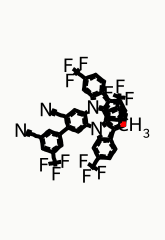 Cc1ccc2c3ccc(C(F)(F)F)cc3n(-c3cc(C#N)c(-c4cc(C#N)cc(C(F)(F)F)c4)cc3-n3c4cc(C(F)(F)F)ccc4c4ccc(C(F)(F)F)cc43)c2c1